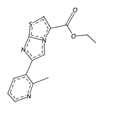 CCOC(=O)c1csc2nc(-c3cccnc3C)cn12